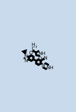 C[C@@H](Oc1cc(-c2ccc(N3CCNCC3)c(C#N)c2)cc2ncn(C3CC3)c12)C1CNC(=O)C1